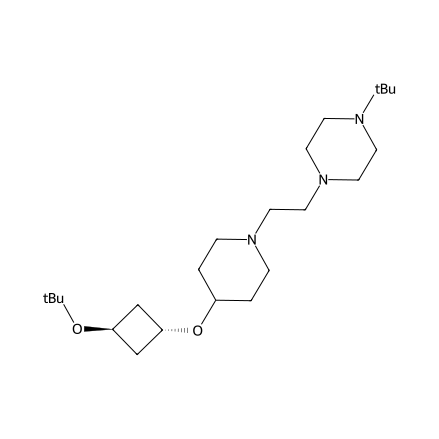 CC(C)(C)O[C@H]1C[C@H](OC2CCN(CCN3CCN(C(C)(C)C)CC3)CC2)C1